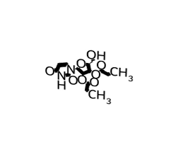 CCC(=O)OC1[C@@H](CO)O[C@@H](n2ccc(=O)[nH]c2=O)[C@H]1OC(=O)CC